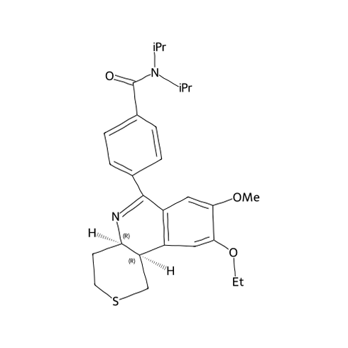 CCOc1cc2c(cc1OC)C(c1ccc(C(=O)N(C(C)C)C(C)C)cc1)=N[C@@H]1CCSC[C@H]21